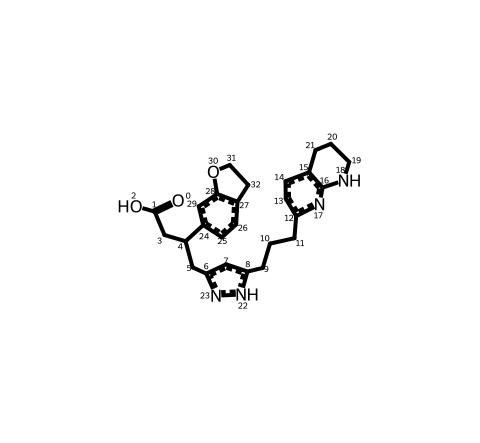 O=C(O)CC(Cc1cc(CCCc2ccc3c(n2)NCCC3)[nH]n1)c1ccc2c(c1)OCC2